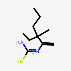 C=C(/N=C(\N)S)C(C)(CC)CCC